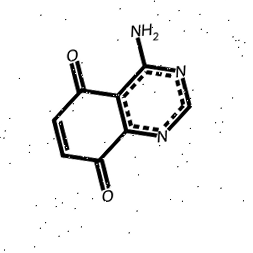 Nc1ncnc2c1C(=O)C=CC2=O